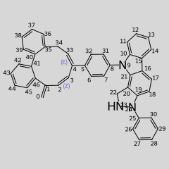 C=C1/C=C\C(c2ccc(-n3c4ccccc4c4ccc5c(c43)CNN5c3ccccc3)cc2)=C/Cc2ccccc2-c2ccccc21